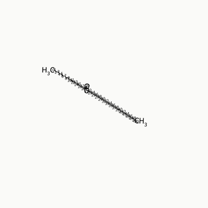 CCCCCC=CCC=CCC=CCC=CCCCC(=O)OCCCCCCCCCCCCCCCCCCCCCCCCCCCCC